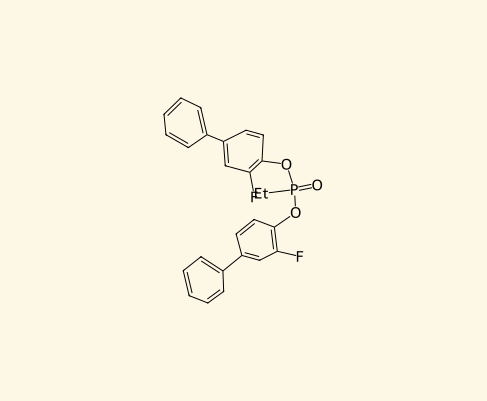 CCP(=O)(Oc1ccc(-c2ccccc2)cc1F)Oc1ccc(-c2ccccc2)cc1F